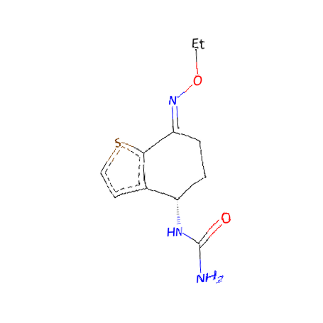 CCON=C1CC[C@H](NC(N)=O)c2ccsc21